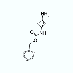 NC12CC(NC(=O)OCc3ccccc3)(C1)C2